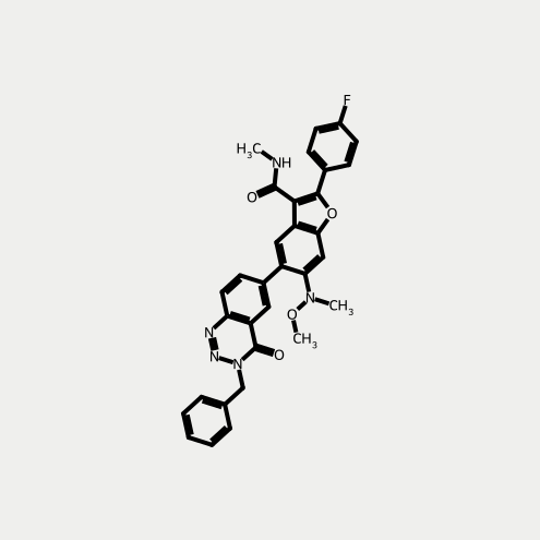 CNC(=O)c1c(-c2ccc(F)cc2)oc2cc(N(C)OC)c(-c3ccc4nnn(Cc5ccccc5)c(=O)c4c3)cc12